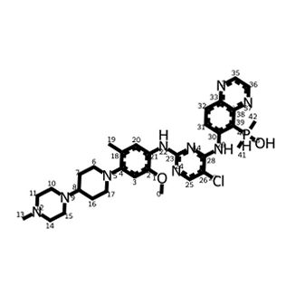 COc1cc(N2CCC(N3CCN(C)CC3)CC2)c(C)cc1Nc1ncc(Cl)c(Nc2ccc3nccnc3c2[PH](C)(C)O)n1